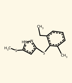 CCc1cccc(C)c1Sc1cc(SC)[nH]n1